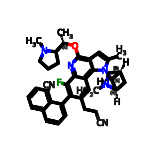 Cc1cc2c(O[C@@H](C)C3CCCN3C)nc3c(F)c(-c4cccc5cccc(C#N)c45)c(CCC#N)cc3c2n1[C@H]1[C@@H]2C[C@H]1N(C(=O)O)C2